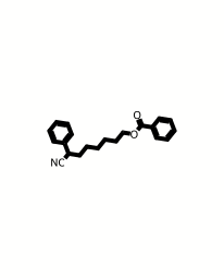 N#CC(CCCCCCOC(=O)c1ccccc1)c1ccccc1